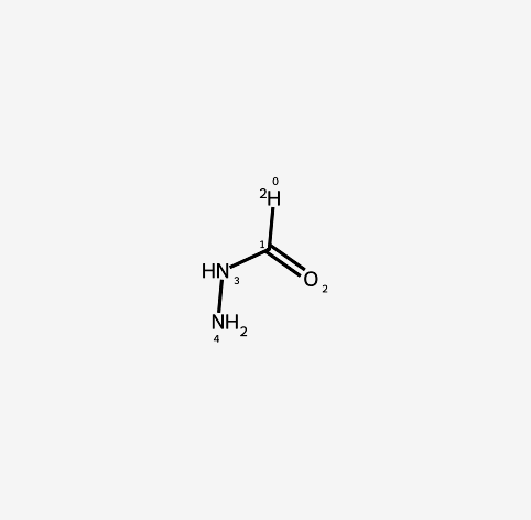 [2H]C(=O)NN